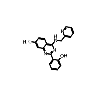 Cc1ccc2c(NCc3ccccn3)nc(-c3ccccc3O)nc2c1